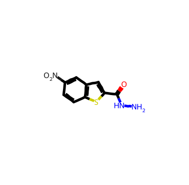 NNC(=O)c1cc2cc([N+](=O)[O-])ccc2s1